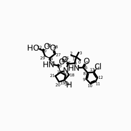 CC(C)(C)[C@H](NC(=O)c1ccccc1Cl)C(=O)N1C[C@@H]2CC[C@@]1(C(=O)N[C@H](C=O)CC(=O)O)C2